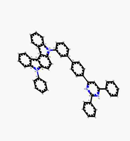 c1ccc(-c2cc(-c3ccc(-c4cccc(-n5c6ccccc6c6c7c8ccccc8n(-c8ccccc8)c7ccc65)c4)cc3)nc(-c3ccccc3)n2)cc1